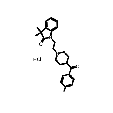 CC1(C)C(=O)N(CCN2CCC(C(=O)c3ccc(F)cc3)CC2)c2ccccc21.Cl